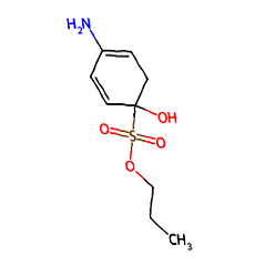 CCCOS(=O)(=O)C1(O)C=CC(N)=CC1